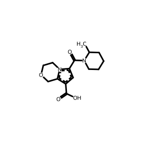 CC1CCCCN1C(=O)c1cc(C(=O)O)c2n1CCOC2